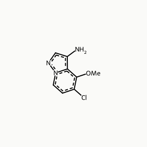 COc1c(Cl)ccn2ncc(N)c12